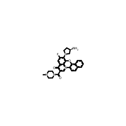 CN1CCN(C(=O)c2cn3c4c(c(N5CC[C@@H](N)C5)c(F)cc4c2=O)Oc2c-3ccc3ccccc23)CC1